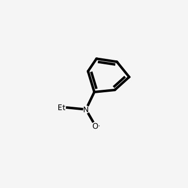 CCN([O])c1ccccc1